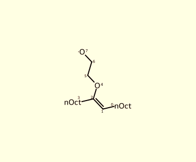 CCCCCCCC/C=C(/CCCCCCCC)OCC[O]